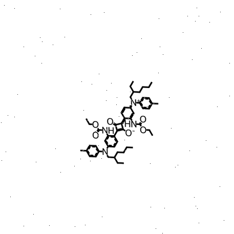 CCCCC(CC)CN(c1ccc(C)cc1)c1ccc(C2=C([O-])/C(=C3C=C/C(=[N+](\CC(CC)CCCC)c4ccc(C)cc4)C=C/3NC(=O)OCC)C2=O)c(NC(=O)OCC)c1